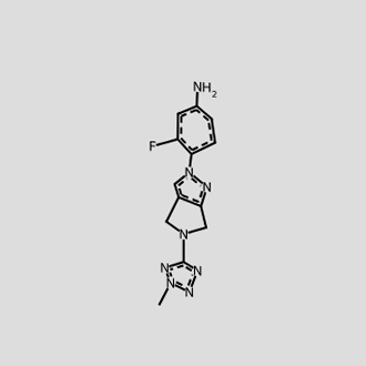 Cn1nnc(N2Cc3cn(-c4ccc(N)cc4F)nc3C2)n1